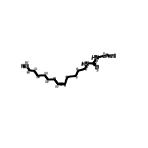 CCCCCNC(=O)NCCCC/C=C\CCCCCCO